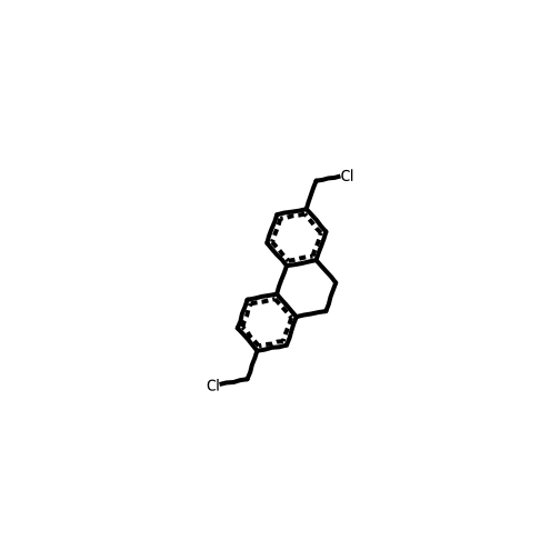 ClCc1ccc2c(c1)CCc1cc(CCl)ccc1-2